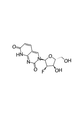 O=c1ccc2cn([C@H]3O[C@H](CO)[C@@H](O)[C@H]3F)c(=O)nc2[nH]1